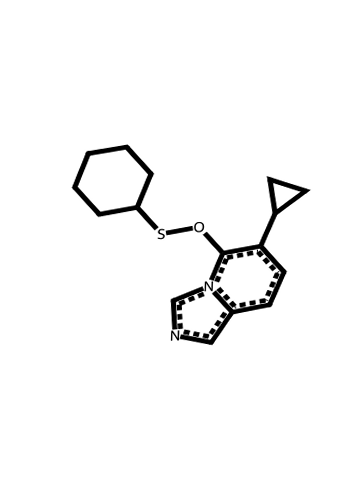 c1cc2cncn2c(OSC2CCCCC2)c1C1CC1